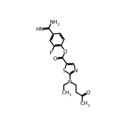 CCN(CCC(C)=O)c1ncc(C(=O)Oc2ccc(C(=N)N)cc2F)s1